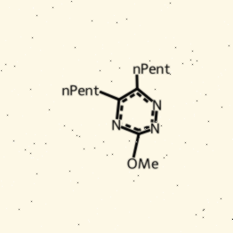 CCCCCc1nnc(OC)nc1CCCCC